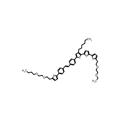 CCCCCCc1cc(-c2ccc(/C=C/c3ccc(-c4ccc(CCOCCOCCCC)s4)cc3)cc2)sc1-c1ccc(-c2ccc(CCOCCOCC)s2)s1